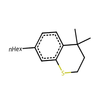 CCCCCCc1ccc2c(c1)SCCC2(C)C